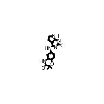 CC1(C)Oc2ccc(Nc3nc(Cl)nc4[nH]ccc34)cc2NC1=O